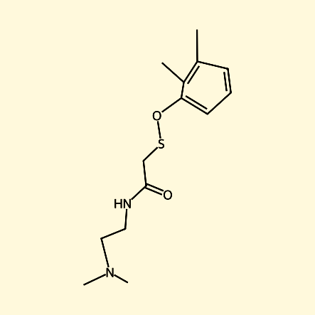 Cc1cccc(OSCC(=O)NCCN(C)C)c1C